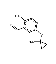 CC1(Oc2ccc(N)c(C=N)c2)CC1